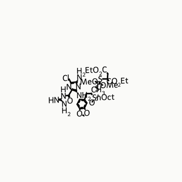 CCCCCCCC[S+]([O-])C(C)Cc1ccc2c(c1)OCO2.CCOC(=O)CC(SP(=S)(OC)OC)C(=O)OCC.N=C(N)NC(=O)c1nc(Cl)c(N)nc1N